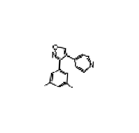 Cc1cc(C)cc(-c2nocc2-c2ccncc2)c1